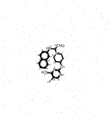 Nc1nc(OC2CCN(C(C=O)Nc3ccc4ccccc4c3)CC2)ncc1F